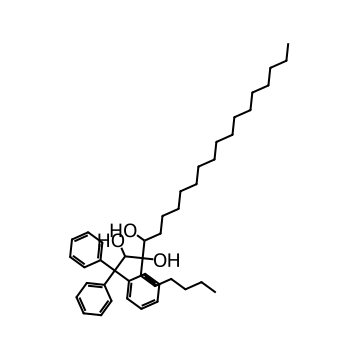 CCCCC=CC(O)(C(O)CCCCCCCCCCCCCCCC)C(O)C(c1ccccc1)(c1ccccc1)c1ccccc1